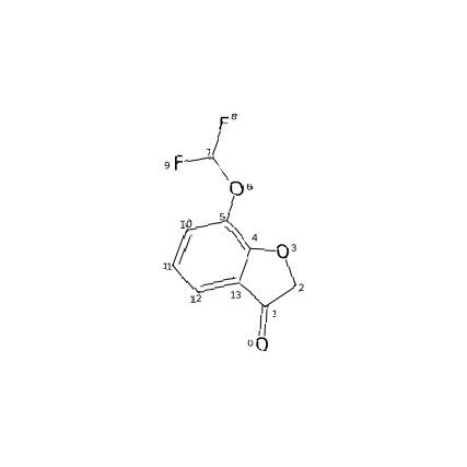 O=C1COc2c(OC(F)F)cccc21